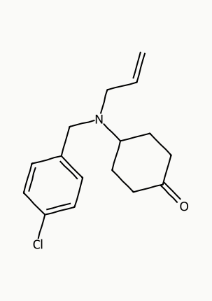 C=CCN(Cc1ccc(Cl)cc1)C1CCC(=O)CC1